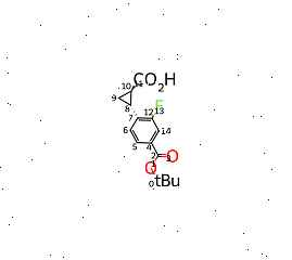 CC(C)(C)OC(=O)c1ccc([C@@H]2C[C@H]2C(=O)O)c(F)c1